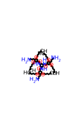 C#CCCCCOC1=CC(C(=O)NC2CC(NC(=O)c3cc(OCCCCC#C)c(CCCN)c(OCCCCC#C)c3)CC(NC(=O)c3cc(OCCCCC#C)c(CCCN)c(OCCCCC#C)c3)C2)CC(OCCCCC#C)=C1CCCN